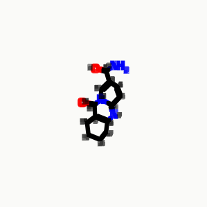 NC(=O)c1ccc2nc3c(c(=O)n2c1)CCCC3